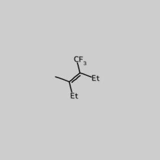 CC/C(C)=C(\CC)C(F)(F)F